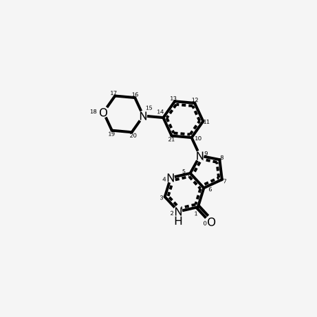 O=c1[nH]cnc2c1ccn2-c1cccc(N2CCOCC2)c1